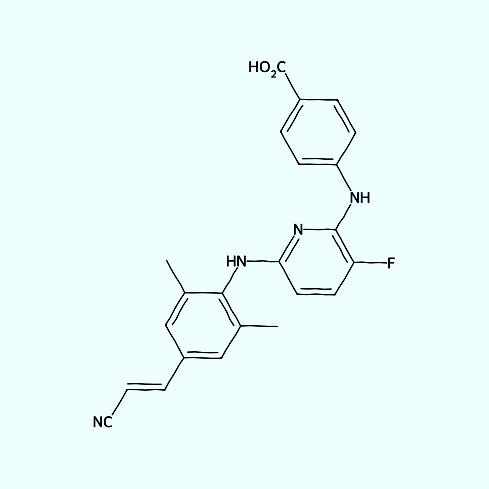 Cc1cc(C=CC#N)cc(C)c1Nc1ccc(F)c(Nc2ccc(C(=O)O)cc2)n1